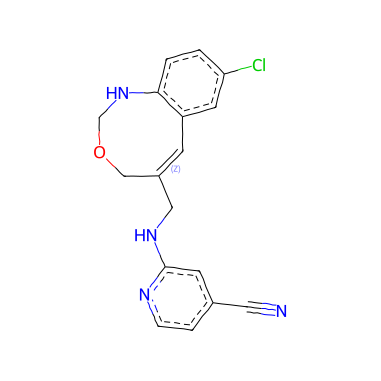 N#Cc1ccnc(NC/C2=C/c3cc(Cl)ccc3NCOC2)c1